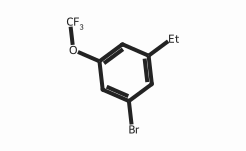 CCc1cc(Br)cc(OC(F)(F)F)c1